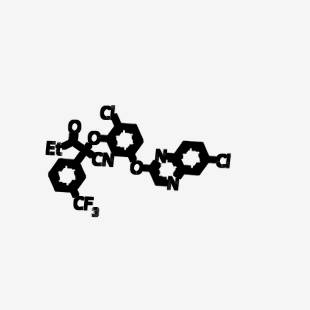 CCC(=O)C(C#N)(Oc1cc(Oc2cnc3cc(Cl)ccc3n2)ccc1Cl)c1cccc(C(F)(F)F)c1